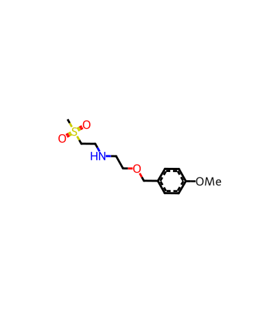 COc1ccc(COCCNCCS(C)(=O)=O)cc1